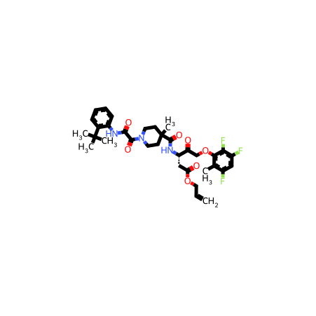 C=CCOC(=O)C[C@H](NC(=O)C1(C)CCN(C(=O)C(=O)Nc2ccccc2C(C)(C)C)CC1)C(=O)COc1c(C)c(F)cc(F)c1F